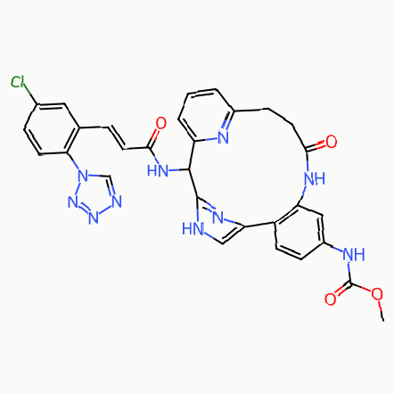 COC(=O)Nc1ccc2c(c1)NC(=O)CCc1cccc(n1)C(NC(=O)/C=C/c1cc(Cl)ccc1-n1cnnn1)c1nc-2c[nH]1